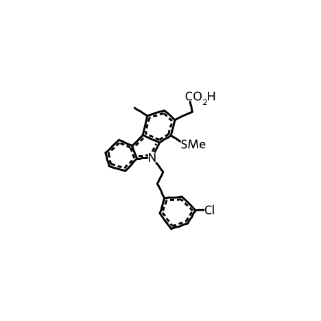 CSc1c(CC(=O)O)cc(C)c2c3ccccc3n(CCc3cccc(Cl)c3)c12